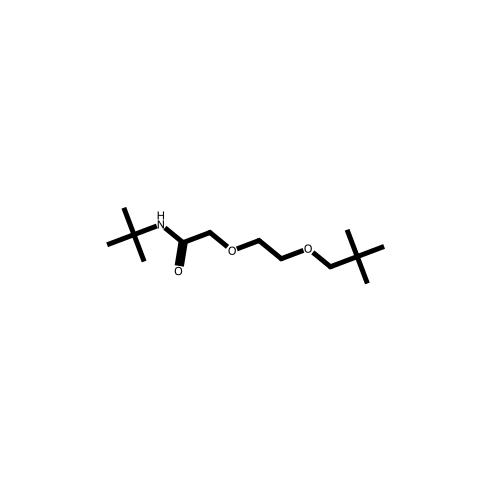 CC(C)(C)COCCOCC(=O)NC(C)(C)C